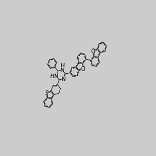 C1=C(C2N=C(c3ccc4oc5c(-c6cccc7c6oc6ccccc67)cccc5c4c3)NC(c3ccccc3)N2)CCc2c1sc1ccccc21